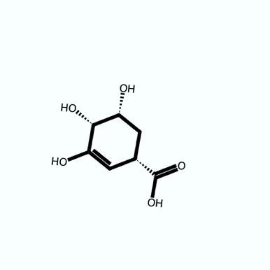 O=C(O)[C@@H]1C=C(O)[C@H](O)[C@H](O)C1